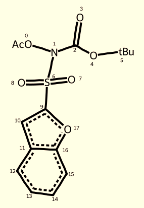 CC(=O)ON(C(=O)OC(C)(C)C)S(=O)(=O)c1cc2ccccc2o1